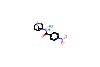 Cl.O=C(NC1CN2CCC1CC2)c1ccc([N+](=O)[O-])cc1